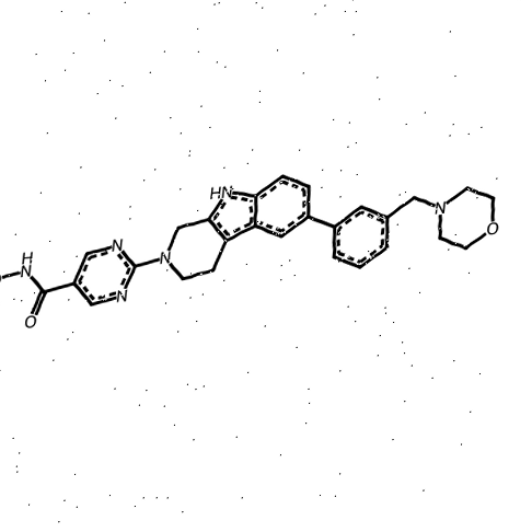 O=C(NO)c1cnc(N2CCc3c([nH]c4ccc(-c5cccc(CN6CCOCC6)c5)cc34)C2)nc1